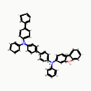 c1ccc(-c2ccc(N(c3ccccc3)c3ccc(-c4ccc(N(c5ccccc5)c5ccc6c(c5)oc5ccccc56)cc4)cc3)cc2)cc1